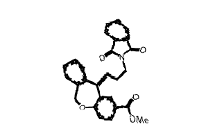 COC(=O)c1ccc2c(c1)/C(=C\CCN1C(=O)c3ccccc3C1=O)c1ccccc1CO2